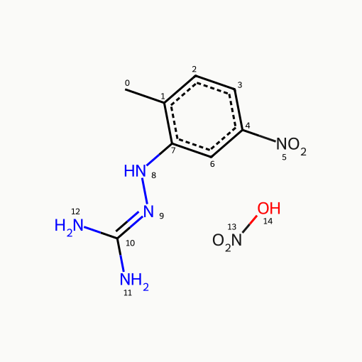 Cc1ccc([N+](=O)[O-])cc1NN=C(N)N.O=[N+]([O-])O